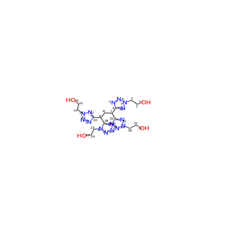 OCCn1nnc(C(CC(c2nnn(CCO)n2)c2nnnn2CCO)c2nnn(CCO)n2)n1